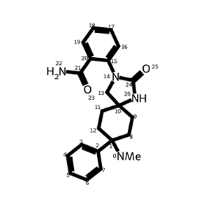 CNC1(c2ccccc2)CCC2(CC1)CN(c1ccccc1C(N)=O)C(=O)N2